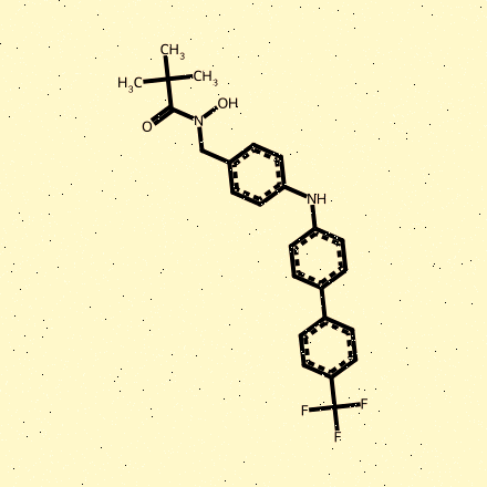 CC(C)(C)C(=O)N(O)Cc1ccc(Nc2ccc(-c3ccc(C(F)(F)F)cc3)cc2)cc1